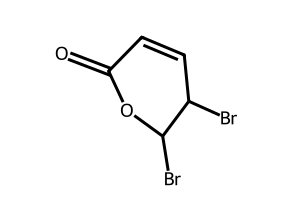 O=C1C=CC(Br)C(Br)O1